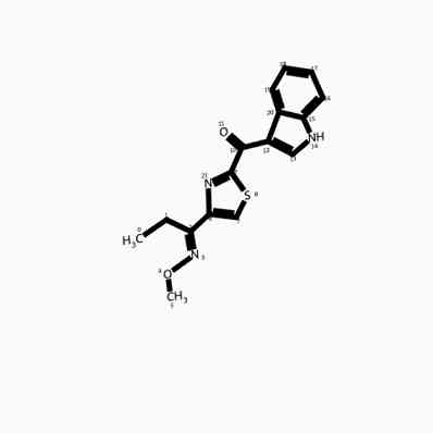 CCC(=NOC)c1csc(C(=O)c2c[nH]c3ccccc23)n1